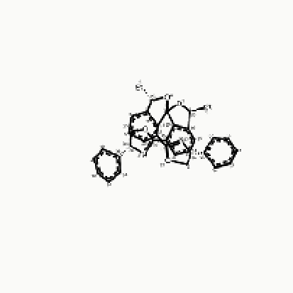 CC[C@@H]1OC2(O[C@@H](CC)c3cccc(C4=N[C@H](c5ccccc5)CO4)c32)c2c(C3=N[C@H](c4ccccc4)CO3)cccc21